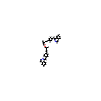 CC(C#Cc1ccc(Cc2nccc3ccccc23)cc1)COCC(C)C#Cc1ccc(Cc2nccc3ccccc23)cc1